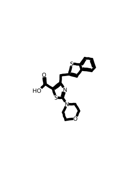 O=C(O)c1sc(N2CCOCC2)nc1Cc1cc2ccccc2s1